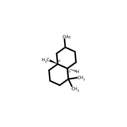 CC(=O)OC1CC[C@H]2C(C)(C)CCC[C@]2(C)C1